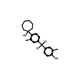 CCC(CC)(c1ccc(O)c(C)c1)c1ccc(C2(O)CCCCCC2)c(C)c1